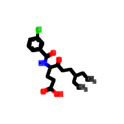 CCC(CC)CCC(=O)C(CCC(=O)O)NC(=O)c1cccc(Cl)c1